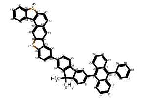 CC1(C)c2ccc(-c3c4ccccc4c(-c4ccccc4)c4ccccc34)cc2-c2ccc(-c3ccc4sc5cc6c(ccc7sc8ccccc8c76)cc5c4c3)cc21